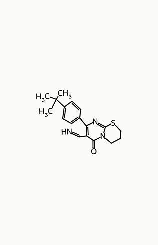 CC(C)(C)c1ccc(-c2nc3n(c(=O)c2C=N)CCCS3)cc1